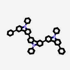 c1ccc(-c2ccc3c(c2)c2cc(-c4ccc5c(c4)c4cc(-c6ccc7c(c6)c6cc(-c8ccccc8)ccc6n7-c6ccccc6)ccc4n5-c4ccccc4)ccc2n3-c2ccccc2)cc1